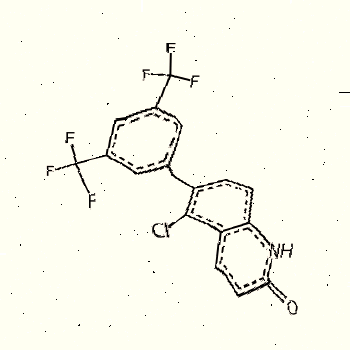 O=c1ccc2c(Cl)c(-c3cc(C(F)(F)F)cc(C(F)(F)F)c3)ccc2[nH]1